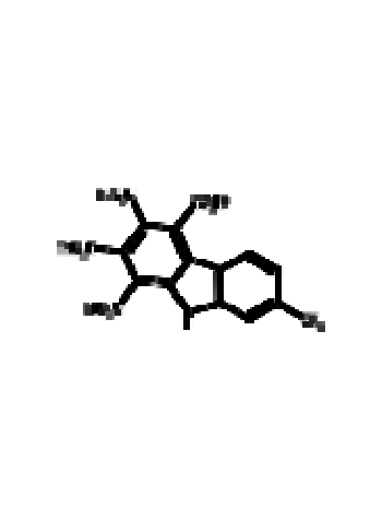 CCOC(=O)c1c(C(=O)OCC)c(C(=O)OCC)c2c([nH]c3cc(C(F)(F)F)ccc32)c1C(=O)OCC